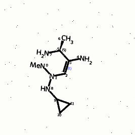 CNN(/C=C(/N)[C@H](C)N)NC1CC1